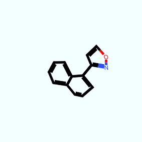 c1ccc2c(-c3ccon3)cccc2c1